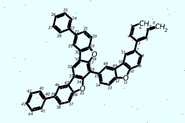 C=C/C=C(\C=C/C)c1ccc2oc3ccc(-c4c5oc6ccc(-c7ccccc7)cc6c5cc5c4oc4ccc(-c6ccccc6)cc45)cc3c2c1